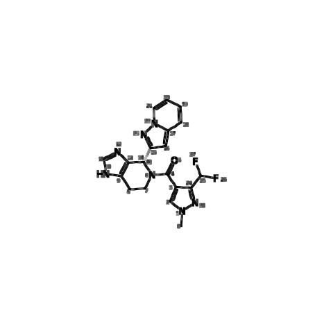 Cn1cc(C(=O)N2CCc3[nH]cnc3[C@@H]2c2cc3ccccn3n2)c(C(F)F)n1